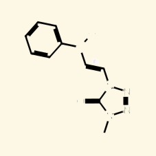 Cn1nnn(/C=C/[S+]([O-])c2ccccc2)c1=O